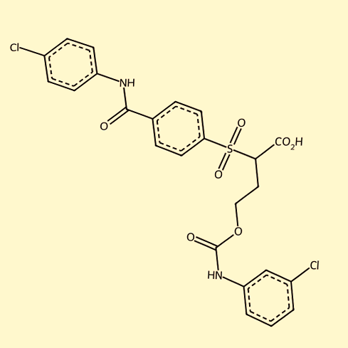 O=C(Nc1cccc(Cl)c1)OCCC(C(=O)O)S(=O)(=O)c1ccc(C(=O)Nc2ccc(Cl)cc2)cc1